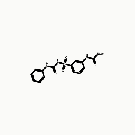 CNC(=S)Nc1cccc(S(=O)(=O)NC(=O)Nc2ccccc2)c1